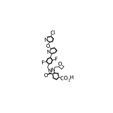 O=C(O)c1ccc2c(=O)n(Cc3cc(F)c(-c4cccc(Oc5ccc(Cl)cn5)n4)cc3F)n(CC3CCO3)c2c1